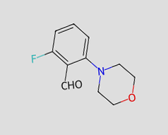 O=Cc1c(F)cccc1N1CCOCC1